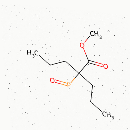 CCCC(CCC)(P=O)C(=O)OC